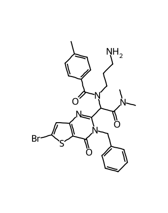 Cc1ccc(C(=O)N(CCCN)C(C(=O)N(C)C)c2nc3cc(Br)sc3c(=O)n2Cc2ccccc2)cc1